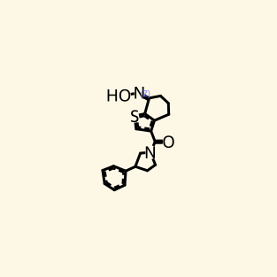 O=C(c1csc2c1CCC/C2=N/O)N1CCC(c2ccccc2)C1